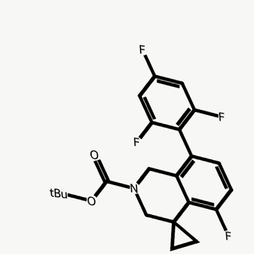 CC(C)(C)OC(=O)N1Cc2c(-c3c(F)cc(F)cc3F)ccc(F)c2C2(CC2)C1